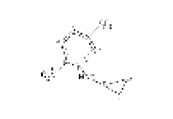 O=[N+]([O-])c1ccc(C(F)(F)F)cc1NC1CC1